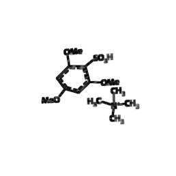 COc1cc(OC)c(S(=O)(=O)O)c(OC)c1.C[N+](C)(C)C